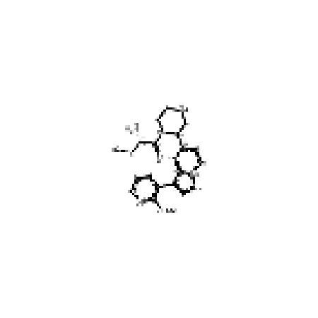 COc1ncccc1-c1cnn2ccc(C3CNCCN3C(=O)[C@@H](N)CC(C)C)nc12